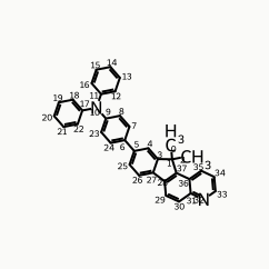 CC1(C)c2cc(-c3ccc(N(c4ccccc4)c4ccccc4)cc3)ccc2-c2ccc3ncccc3c21